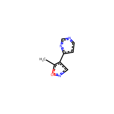 Cc1oncc1-c1ccncn1